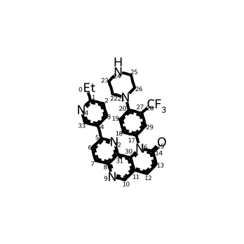 CCc1ccc(-c2ccc3ncc4ccc(=O)n(-c5ccc(N6CCNCC6)c(C(F)(F)F)c5)c4c3n2)cn1